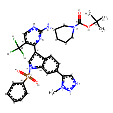 Cn1nncc1-c1ccc2c(-c3nc(N[C@H]4CCCN(C(=O)OC(C)(C)C)C4)ncc3C(F)(F)F)cn(S(=O)(=O)c3ccccc3)c2c1